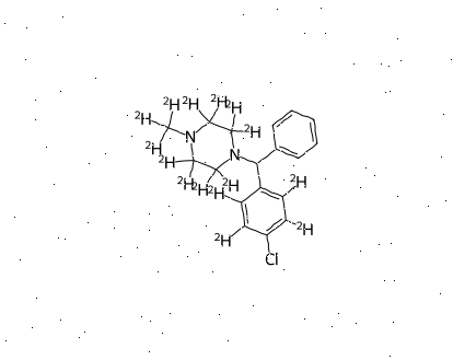 [2H]c1c([2H])c(C(c2ccccc2)N2C([2H])([2H])C([2H])([2H])N(C([2H])([2H])[2H])C([2H])([2H])C2([2H])[2H])c([2H])c([2H])c1Cl